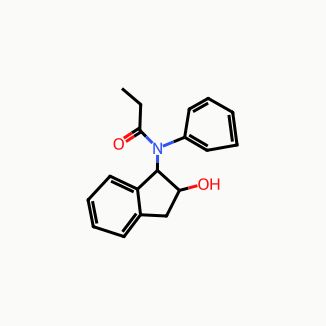 CCC(=O)N(c1ccccc1)C1c2ccccc2CC1O